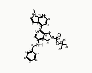 Cn1ccc2c(-c3ncc(NCc4ccccc4)c4c3CN(C(=O)OC(C)(C)C)C4)ccnc21